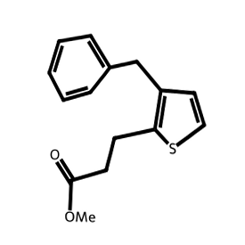 COC(=O)CCc1sccc1Cc1ccccc1